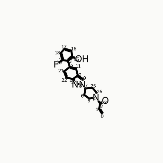 C=CC(=O)N1CCC(n2cc3cc(-c4c(O)cccc4F)ccc3n2)CC1